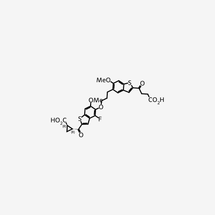 COc1cc2sc(C(=O)CCC(=O)O)cc2cc1CCCOc1c(OC)cc2sc(C(=O)[C@@H]3C[C@H]3C(=O)O)cc2c1F